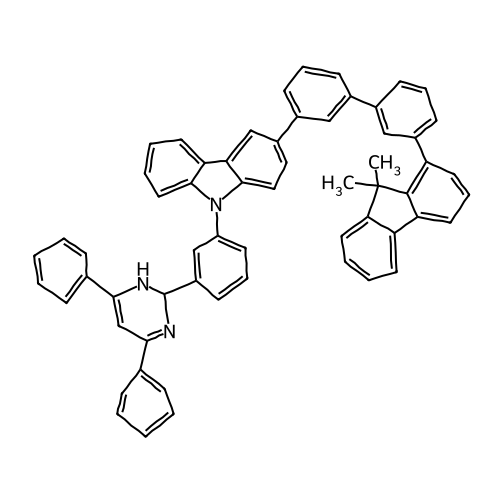 CC1(C)c2ccccc2-c2cccc(-c3cccc(-c4cccc(-c5ccc6c(c5)c5ccccc5n6-c5cccc(C6N=C(c7ccccc7)C=C(c7ccccc7)N6)c5)c4)c3)c21